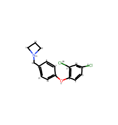 Clc1ccc(Oc2ccc(CN3CCC3)cc2)c(Cl)c1